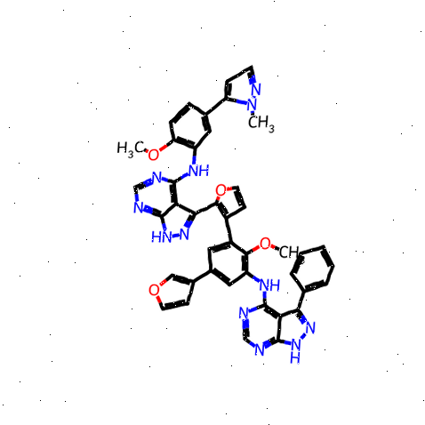 COc1ccc(-c2ccnn2C)cc1Nc1ncnc2[nH]nc(-c3occc3-c3cc(-c4ccoc4)cc(Nc4ncnc5[nH]nc(-c6ccccc6)c45)c3OC)c12